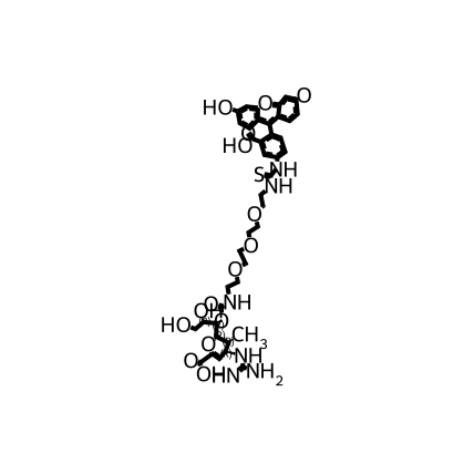 C[C@H]1[C@H]([C@H](OC(=O)NCCOCCOCCOCCNC(=S)Nc2ccc(-c3c4ccc(=O)cc-4oc4cc(O)ccc34)c(C(=O)O)c2)[C@H](O)CO)OC(C(=O)O)=C[C@@H]1NC(=N)N